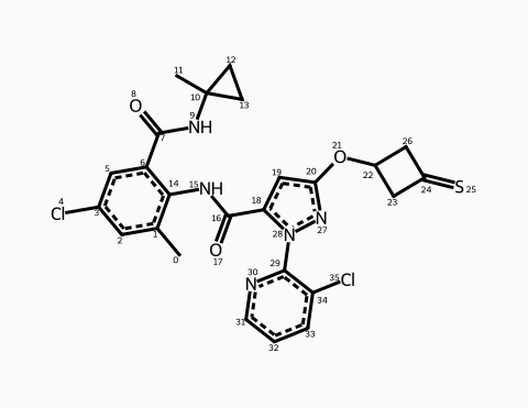 Cc1cc(Cl)cc(C(=O)NC2(C)CC2)c1NC(=O)c1cc(OC2CC(=S)C2)nn1-c1ncccc1Cl